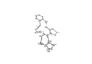 O=C/C=C/c1ccccc1OC[C@H]1CCCN1c1ncnc2[nH]cnc12